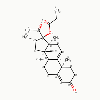 CCC(=O)O[C@]1(C(C)=O)[C@@H](C)C[C@H]2[C@@H]3CCC4=CC(=O)CC[C@]4(C)C3=CC[C@@]21C